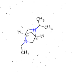 CCN1C[C@H]2C[C@@H]1CN2C(C)C